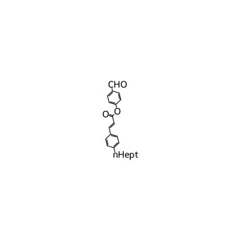 CCCCCCCc1ccc(/C=C/C(=O)Oc2ccc(C=O)cc2)cc1